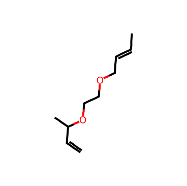 C=CC(C)OCCOCC=CC